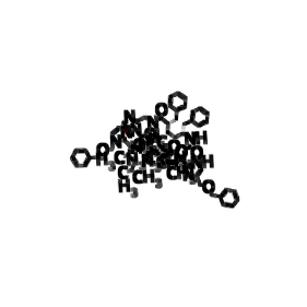 CC(C)CC(C)C(OC(=O)n1ccnc1CNC(=O)[C@H](Cc1ccccc1)C[C@H](O[Si](C)(C)C(C)(C)C)[C@H](Cc1ccccc1)NC(=O)OC(c1nc(COCc2ccccc2)c[nH]1)C(C)C)c1nccn1COCc1ccccc1